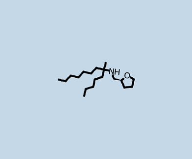 CCCCCCCC(C)(CCCCC)NC[C@@H]1CCCO1